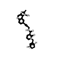 Cc1nc2cnc3ccc(C#CCNC(=O)c4cccn(CC5C[C@H]6CC[C@@H]5C6)c4=O)cc3c2n1C(C)C